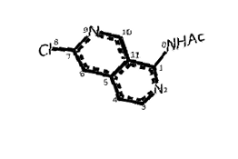 CC(=O)Nc1nccc2cc(Cl)ncc12